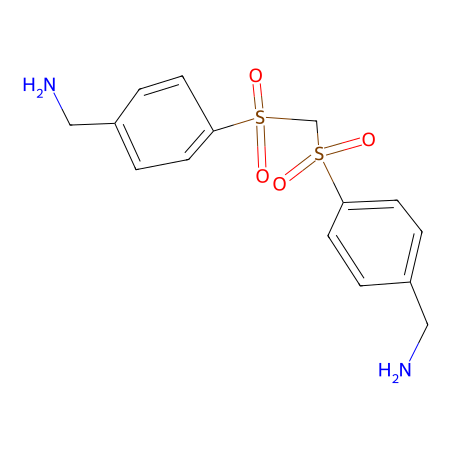 NCc1ccc(S(=O)(=O)CS(=O)(=O)c2ccc(CN)cc2)cc1